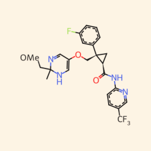 COCC1(C)N=CC(OC[C@@]2(c3cccc(F)c3)C[C@H]2C(=O)Nc2ccc(C(F)(F)F)cn2)=CN1